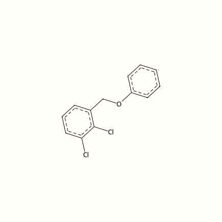 Clc1cccc(COc2cc[c]cc2)c1Cl